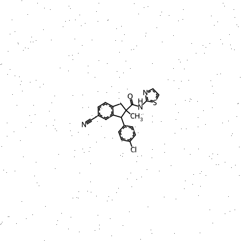 CC1(C(=O)Nc2nccs2)Cc2ccc(C#N)cc2C1c1ccc(Cl)cc1